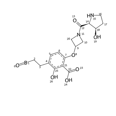 O=BCCc1ccc(OC2CN(C(=O)[C@H]3NCC[C@H]3O)C2)c(C(=O)O)c1O